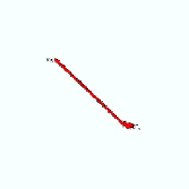 COCCOCCOCCOCCOCCOCCOCCOCCOCCOCCOCCOCCOCCOCCOCCOCCOCCOCCOCCOCCOCCOCCOCCCCCCCCCCC(F)(F)C(F)(F)C(F)(F)C(F)(F)C(F)(F)C(F)(F)C(F)(F)C(F)(F)F